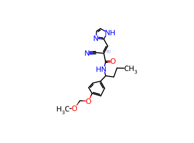 CCCC(NC(=O)/C(C#N)=C/c1ncc[nH]1)c1ccc(OCOC)cc1